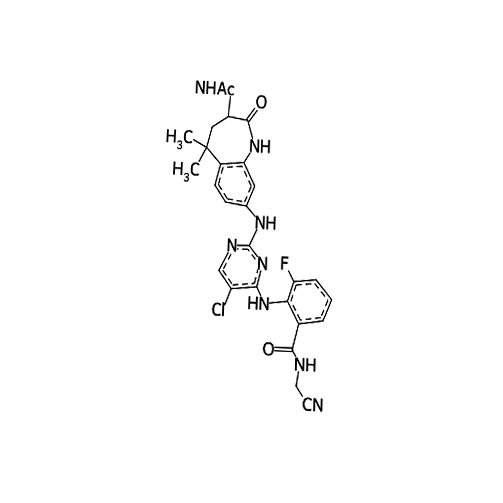 CC(=O)NC1CC(C)(C)c2ccc(Nc3ncc(Cl)c(Nc4c(F)cccc4C(=O)NCC#N)n3)cc2NC1=O